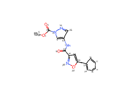 CC(C)(C)OC(=O)n1cc(NC(=O)c2cc(-c3ccccc3)on2)cn1